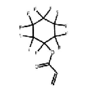 C=CC(=O)OC1(F)C(F)(F)C(F)(F)C(F)(F)C(F)(F)C1(F)F